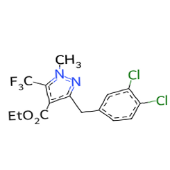 CCOC(=O)c1c(Cc2ccc(Cl)c(Cl)c2)nn(C)c1C(F)(F)F